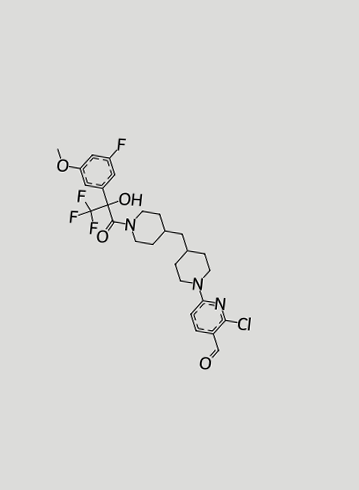 COc1cc(F)cc(C(O)(C(=O)N2CCC(CC3CCN(c4ccc(C=O)c(Cl)n4)CC3)CC2)C(F)(F)F)c1